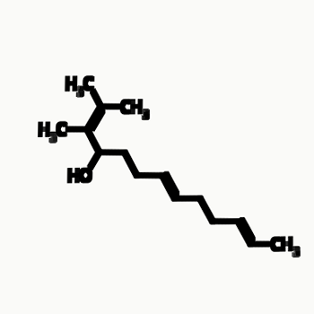 CC=CCCC=CCCC(O)C(C)=C(C)C